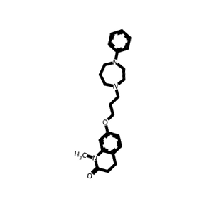 CN1C(=O)CCc2ccc(OCCCN3CCCN(c4ccccc4)CC3)cc21